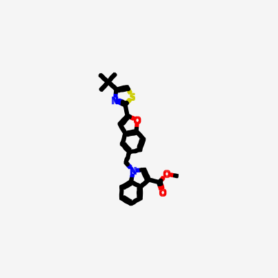 COC(=O)c1cn(Cc2ccc3oc(-c4nc(C(C)(C)C)cs4)cc3c2)c2ccccc12